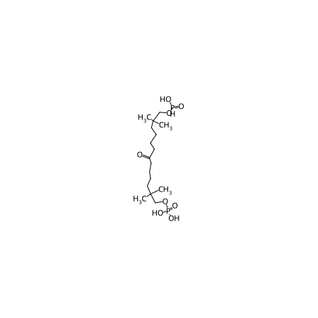 CC(C)(CCCCC(=O)CCCCC(C)(C)COP(=O)(O)O)CO[PH](=O)O